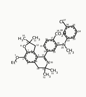 CCOc1cc2c(c3c1OC(C)(C)C3)C(c1ccc(C(=O)O)c(N(C)c3cccc(Cl)c3)c1)=NC(C)(C)C2